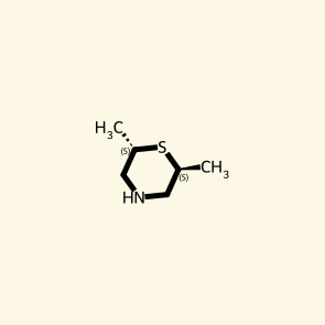 C[C@H]1CNC[C@H](C)S1